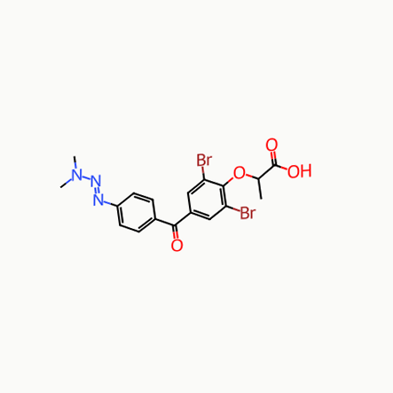 CC(Oc1c(Br)cc(C(=O)c2ccc(N=NN(C)C)cc2)cc1Br)C(=O)O